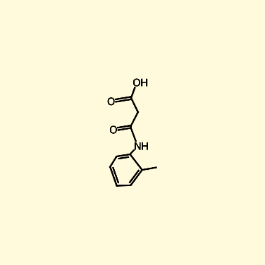 Cc1ccccc1NC(=O)CC(=O)O